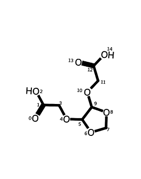 O=C(O)COC1OCOC1OCC(=O)O